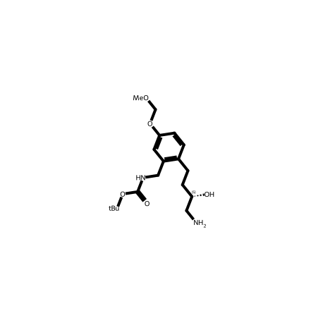 COCOc1ccc(CC[C@H](O)CN)c(CNC(=O)OC(C)(C)C)c1